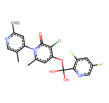 Cc1cnc(C=O)cc1-n1c(C)cc(OC(O)(O)c2ncc(F)cc2F)c(Cl)c1=O